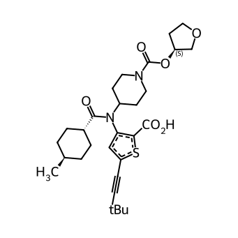 CC(C)(C)C#Cc1cc(N(C(=O)[C@H]2CC[C@H](C)CC2)C2CCN(C(=O)O[C@H]3CCOC3)CC2)c(C(=O)O)s1